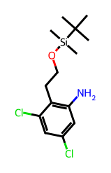 CC(C)(C)[Si](C)(C)OCCc1c(N)cc(Cl)cc1Cl